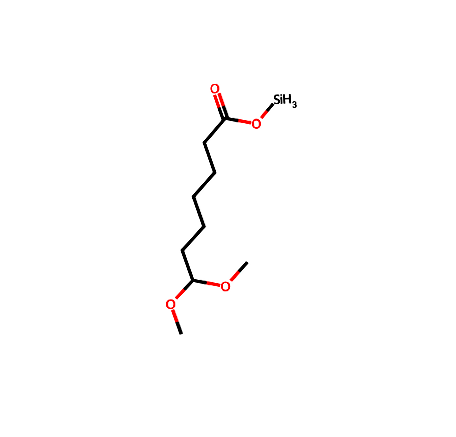 COC(CCCCCC(=O)O[SiH3])OC